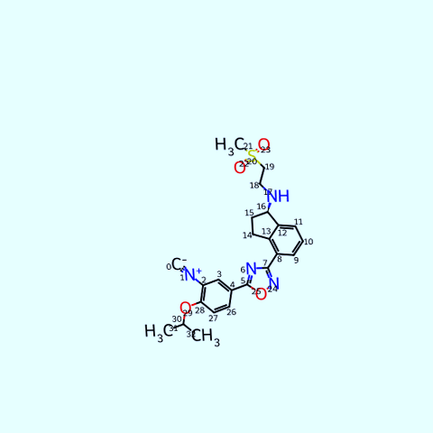 [C-]#[N+]c1cc(-c2nc(-c3cccc4c3CC[C@H]4NCCS(C)(=O)=O)no2)ccc1OC(C)C